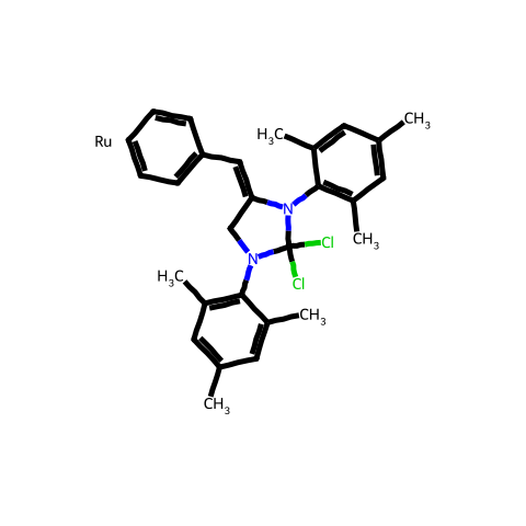 Cc1cc(C)c(N2CC(=Cc3ccccc3)N(c3c(C)cc(C)cc3C)C2(Cl)Cl)c(C)c1.[Ru]